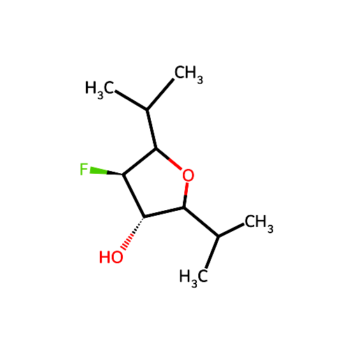 CC(C)C1OC(C(C)C)[C@H](F)[C@H]1O